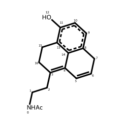 CC(=O)NCCC1=C2C=CCc3ccc(O)c(c32)CC1